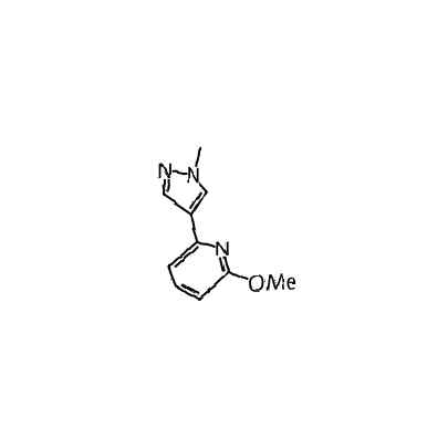 COc1cccc(-c2cnn(C)c2)n1